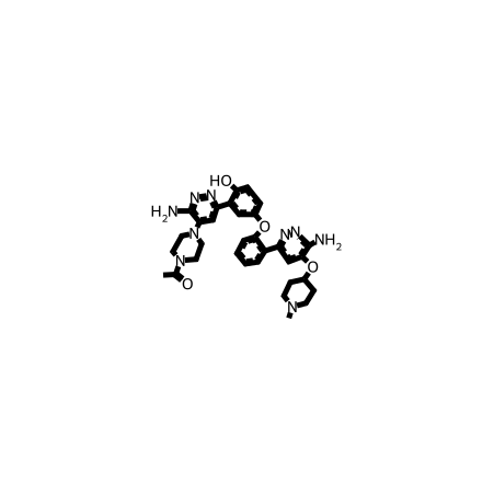 CC(=O)N1CCN(c2cc(-c3cc(Oc4ccccc4-c4cc(OC5CCN(C)CC5)c(N)nn4)ccc3O)nnc2N)CC1